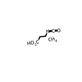 C.O=C=NCCC(=O)O